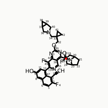 C#Cc1c(F)ccc2cc(O)cc(-c3ncc4c(N5CC6CCC(C5)N6C(=O)F)nc(OCC5(CN6CC7CC7C6)CC5)nc4c3F)c12